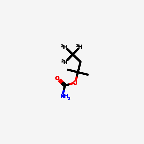 [2H]C([2H])([2H])CC(C)(C)OC(N)=O